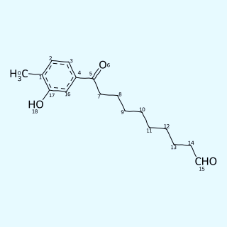 Cc1ccc(C(=O)CCCCCCCCC=O)cc1O